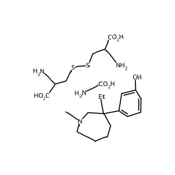 CCC1(c2cccc(O)c2)CCCCN(C)C1.NC(=O)O.NC(CSSCC(N)C(=O)O)C(=O)O